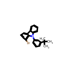 CC(C)(C)c1cccc(-n2c3ccccc3c3cccc(Br)c32)c1